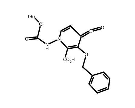 CC(C)(C)OC(=O)NN1C=CC(=C=O)C(OCc2ccccc2)=C1C(=O)O